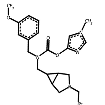 CC(C)CN1CC2C(C1)C2CN(Cc1cccc(OC(F)(F)F)c1)C(=O)Oc1cn(C)cn1